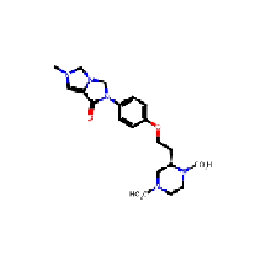 CN1C=C2C(=O)N(c3ccc(OCC[C@@H]4CN(C(=O)O)CCN4C(=O)O)cc3)CN2C1